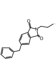 [CH2]CCN1C(=O)c2ccc(Cc3ccccc3)cc2C1=O